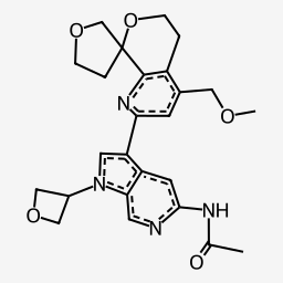 COCc1cc(-c2cn(C3COC3)c3cnc(NC(C)=O)cc23)nc2c1CCOC21CCOC1